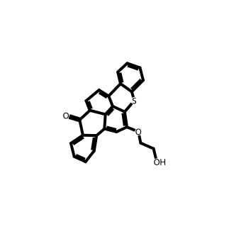 O=c1c2ccccc2c2cc(OCCO)c3sc4ccccc4c4ccc1c2c34